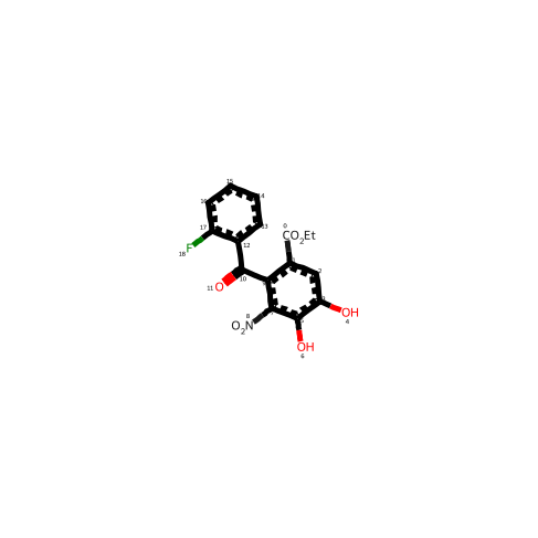 CCOC(=O)c1cc(O)c(O)c([N+](=O)[O-])c1C(=O)c1ccccc1F